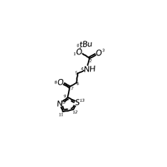 CC(C)(C)OC(=O)NCCC(=O)c1nccs1